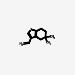 C=Cc1csc2c1CC(C)(C)CC2